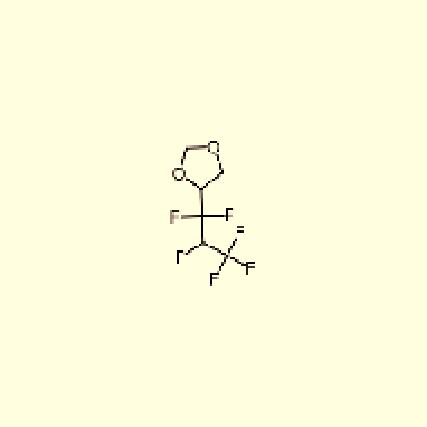 FC(C(F)(F)F)C(F)(F)C1COCO1